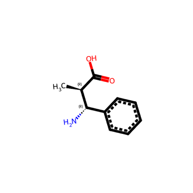 C[C@@H](C(=O)O)[C@@H](N)c1ccccc1